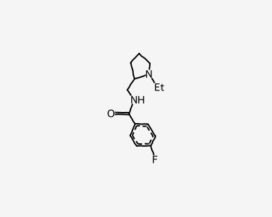 CCN1CCCC1CNC(=O)c1ccc(F)cc1